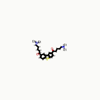 CCN(CC)CCCCC(=O)c1ccc2sc3ccc(C(=O)CCCCN(CC)CC)cc3c2c1